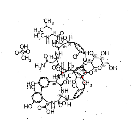 CN[C@H](CC(C)C)C(=O)N[C@H]1C(=O)N[C@@H](CC(N)=O)C(=O)N[C@H]2C(=O)N[C@H]3C(=O)N[C@H](C(=O)N[C@@H](C(=O)O)c4cc(O)cc(O)c4-c4cc3ccc4O)[C@H](O)c3ccc(c(Cl)c3)Oc3cc2cc(c3O[C@@H]2O[C@H](CO)[C@@H](O)[C@H](O)[C@H]2O[C@H]2C[C@](C)(N)C(O)[C@H](C)O2)Oc2ccc(cc2Cl)[C@H]1O.CS(=O)(=O)O